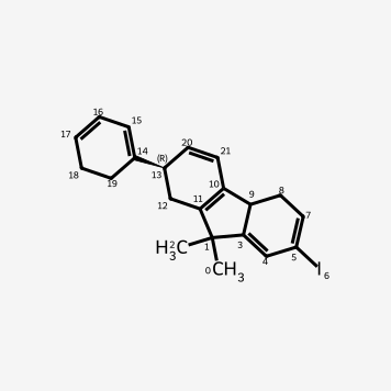 CC1(C)C2=CC(I)=CCC2C2=C1C[C@@H](C1=CC=CCC1)C=C2